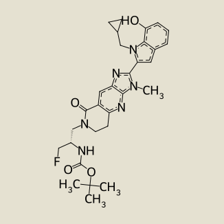 Cn1c(-c2cc3cccc(O)c3n2CC2CC2)nc2cc3c(nc21)CCN(C[C@@H](CF)NC(=O)OC(C)(C)C)C3=O